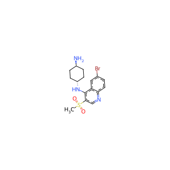 CS(=O)(=O)c1cnc2ccc(Br)cc2c1N[C@H]1CC[C@H](N)CC1